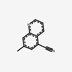 Cc1cc(C#N)c2cccnc2c1